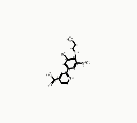 [C-]#[N+]c1cc(-c2cc(C(=O)O)ccn2)cc(Br)c1OCCC